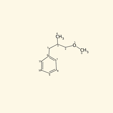 COCC(C)Cc1ccccc1